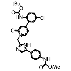 COC(=O)Nc1ccc(-c2cnc(Cn3ccc(-c4cc(Cl)ccc4NC(=O)OC(C)(C)C)cc3=O)[nH]2)cc1